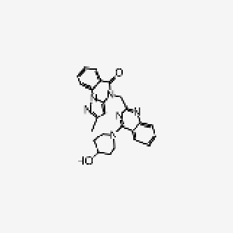 Cc1cc2n(Cc3nc(N4CCC(O)CC4)c4ccccc4n3)c(=O)c3ccccc3n2n1